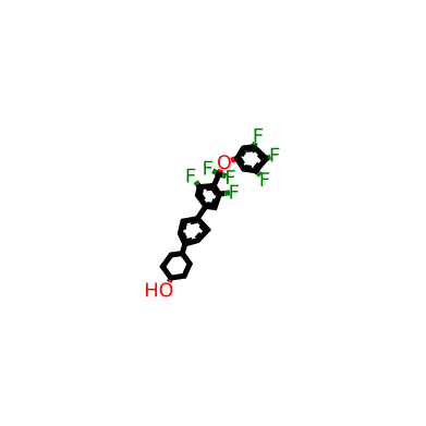 OC1CCC(c2ccc(-c3cc(F)c(C(F)(F)Oc4cc(F)c(F)c(F)c4)c(F)c3)cc2)CC1